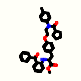 COC(=O)C(Cc1ccc(OCCN(C(=O)C2CCCC2)c2ccc(C)cc2)cc1)Nc1ccccc1C(=O)c1ccccc1